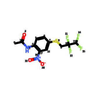 CC(=O)Nc1ccc(SCC(F)(F)C(F)F)cc1[N+](=O)[O-]